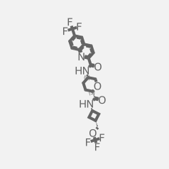 O=C(N[C@@H]1CC[C@@H](C(=O)N[C@H]2C[C@@H](COC(F)(F)F)C2)OC1)c1ccc2cc(C(F)(F)F)ccc2n1